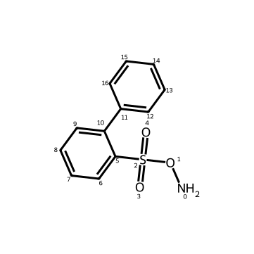 NOS(=O)(=O)c1ccccc1-c1ccccc1